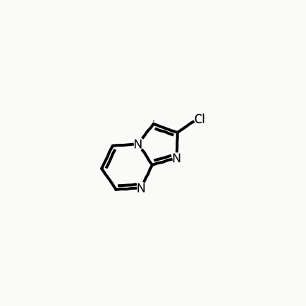 Clc1[c]n2cccnc2n1